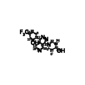 C[C@@H]1CN(c2nnc(-c3ccc(C(F)(F)F)cc3O)c3ccncc23)C[C@H](C)C1O